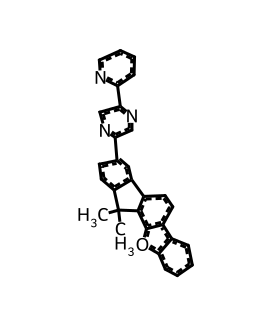 CC1(C)c2ccc(-c3cnc(-c4ccccn4)cn3)cc2-c2ccc3c(oc4ccccc43)c21